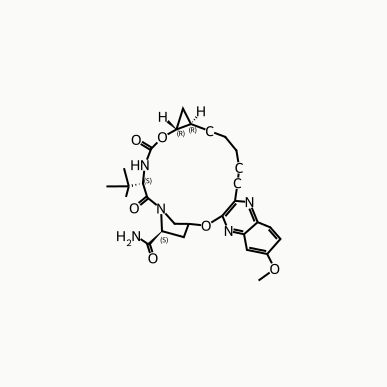 COc1ccc2nc3c(nc2c1)OC1C[C@@H](C(N)=O)N(C1)C(=O)[C@H](C(C)(C)C)NC(=O)O[C@@H]1C[C@H]1CCCCC3